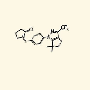 CC1(C)CCc2c(C(F)(F)F)nn(-c3ccc(CN4CCCC4=O)cc3)c21